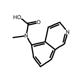 CN(C(=O)O)c1cccc2cnccc12